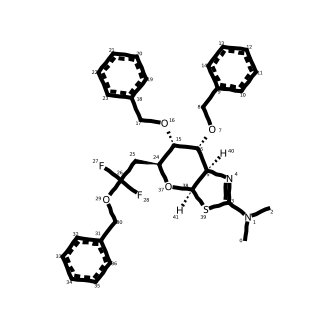 CN(C)C1=N[C@@H]2[C@@H](OCc3ccccc3)[C@@H](OCc3ccccc3)[C@H](CC(F)(F)OCc3ccccc3)O[C@@H]2S1